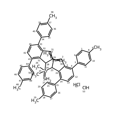 CC1=Cc2c(-c3ccc(C)cc3)ccc(-c3ccc(C)cc3)c2[CH]1[Zr]([CH3])([CH3])(=[SiH2])[CH]1C(C)=Cc2c(-c3ccc(C)cc3)ccc(-c3ccc(C)cc3)c21.Cl.Cl